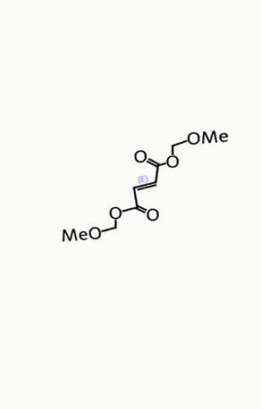 COCOC(=O)/C=C/C(=O)OCOC